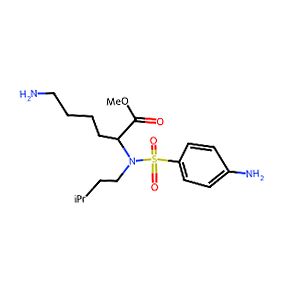 COC(=O)C(CCCCN)N(CCC(C)C)S(=O)(=O)c1ccc(N)cc1